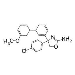 COC1=CC=CC(C2C=C(C3(c4ccc(Cl)cc4)COC(N)=N3)C=CC2)C1